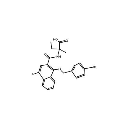 CCC(C)(NC(=O)c1cc(F)c2ccccc2c1OCc1ccc(Br)cc1)C(=O)O